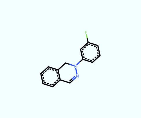 Fc1cccc(N2Cc3ccccc3C=N2)c1